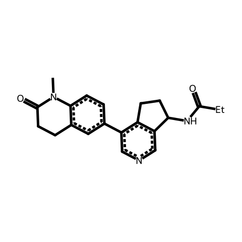 CCC(=O)NC1CCc2c(-c3ccc4c(c3)CCC(=O)N4C)cncc21